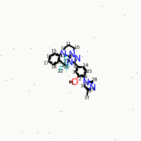 COc1cc(-c2nc3n(n2)CCCN3c2ccccc2C(F)(F)F)ccc1-n1cnc(C)c1